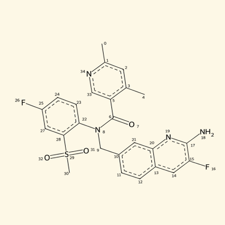 Cc1cc(C)c(C(=O)N(Cc2ccc3cc(F)c(N)nc3c2)c2ccc(F)cc2S(C)(=O)=O)cn1